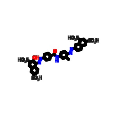 Cc1cc(NC(=O)c2ccc(/N=N/c3c(O)c(S(=O)(=O)O)cc4cc(S(=O)(=O)O)ccc34)cc2)ccc1/N=N/c1ccc2cc(S(=O)(=O)O)cc(S(=O)(=O)O)c2c1